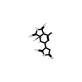 CC1=CC(C2CC(=O)OC2=O)C[C@@H]2C(=O)OC(=O)C12